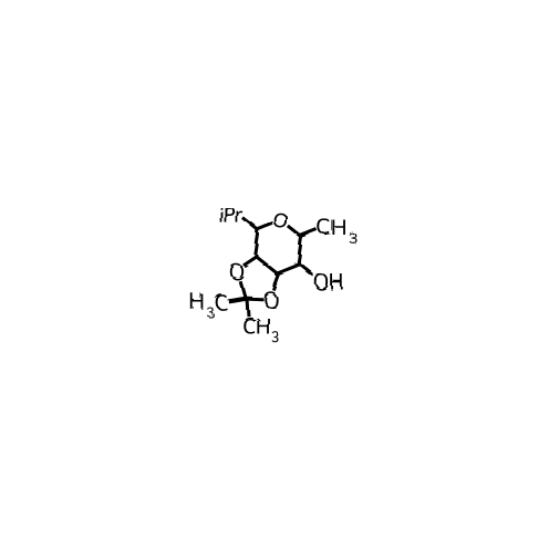 CC(C)C1OC(C)C(O)C2OC(C)(C)OC12